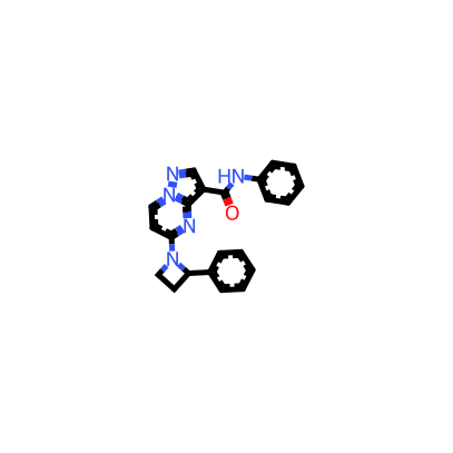 O=C(Nc1ccccc1)c1cnn2ccc(N3CCC3c3ccccc3)nc12